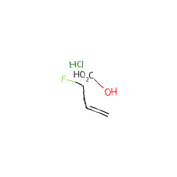 C=CCF.Cl.O=C(O)O